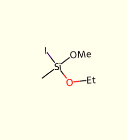 CCO[Si](C)(I)OC